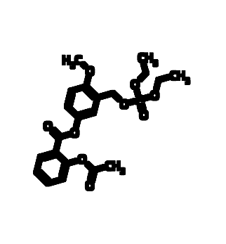 CCOP(=O)(OCC)OCc1cc(OC(=O)c2ccccc2OC(C)=O)ccc1OC